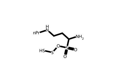 CCCNCCC(N)S(=O)(=O)OSS